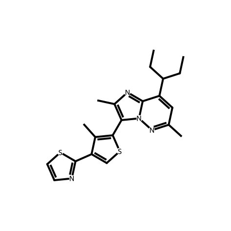 CCC(CC)c1cc(C)nn2c(-c3scc(-c4nccs4)c3C)c(C)nc12